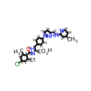 CCc1cc(Cl)cc(C)c1C(=O)NC(Cc1ccc(-n2ccc(CNc3cc(C)ccn3)n2)cc1)C(=O)O